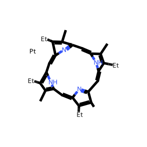 CCC1=C(C)c2cc3[nH]c(cc4nc(cc5[nH]c(cc1n2)c(C)c5CC)C(CC)=C4C)c(C)c3CC.[Pt]